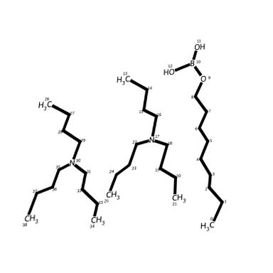 CCCCCCCCCOB(O)O.CCCCN(CCCC)CCCC.CCCCN(CCCC)CCCC